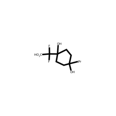 CC(C)C1(O)CCC(O)(C(F)(F)C(=O)O)CC1